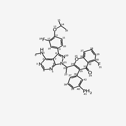 CNc1ncnc2c1c(-c1ccc(OC(C)C)c(F)c1)nn2C(C)c1oc2cccc(F)c2c(=O)c1-c1cccc(P)c1